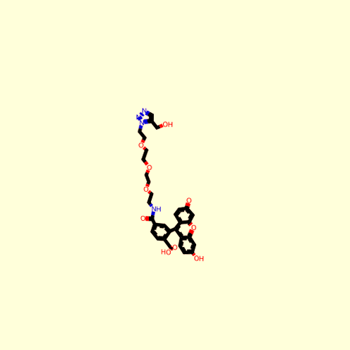 O=C(NCCOCCOCCOCCn1nncc1CO)c1ccc(C(=O)O)c(-c2c3ccc(=O)cc-3oc3cc(O)ccc23)c1